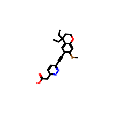 CCC1(CC)CCOc2cc(SC)c(C#Cc3ccc(CC(=O)O)nn3)cc21